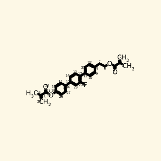 C=C(C)C(=O)OCCc1ccc(-c2ccc(-c3ccc(OC(=O)C(=C)C)cc3)cc2F)cc1